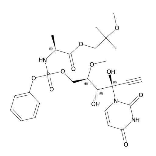 C#C[C@@](O)([C@H](O)[C@@H](COP(=O)(N[C@@H](C)C(=O)OCC(C)(C)OC)Oc1ccccc1)OC)n1ccc(=O)[nH]c1=O